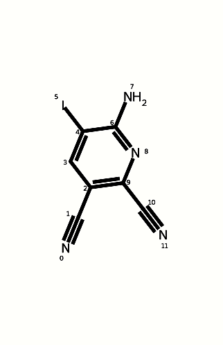 N#Cc1cc(I)c(N)nc1C#N